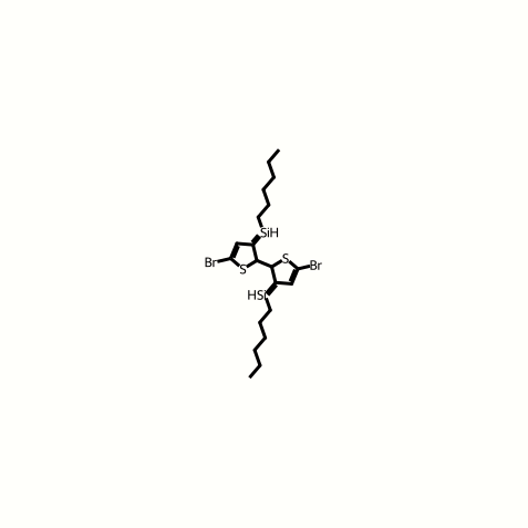 CCCCCC/[SiH]=C1\C=C(Br)SC1C1SC(Br)=C/C1=[SiH]\CCCCCC